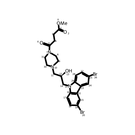 COC(=O)CCC(=O)N1CCN(C[C@@H](O)Cn2c3ccc(Br)cc3c3cc(Br)ccc32)CC1